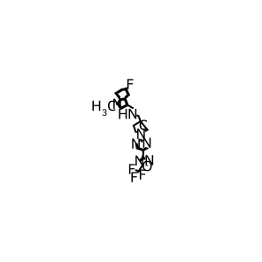 Cn1cc(CNCC2CCN(c3ncc(-c4noc(C(F)(F)F)n4)cn3)CC2)c2cc(F)ccc21